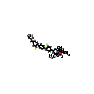 C=CCCc1ccc(-c2ccc(-c3ccc(C4CC(C)(C)N(OCC)C(C)(C)C4)cc3F)cc2)c(F)c1